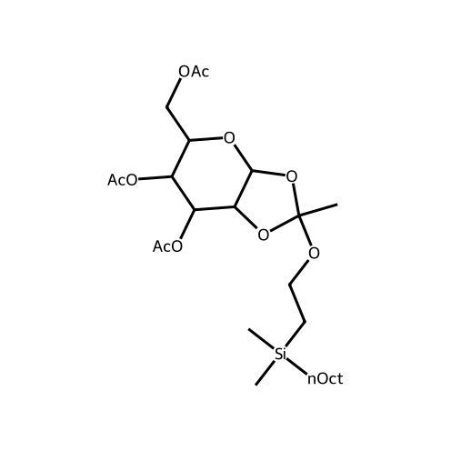 CCCCCCCC[Si](C)(C)CCOC1(C)OC2OC(COC(C)=O)C(OC(C)=O)C(OC(C)=O)C2O1